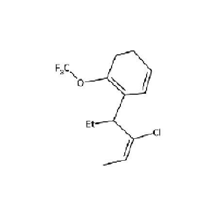 C/C=C(/Cl)C(CC)C1=C(OC(F)(F)F)CCC=C1